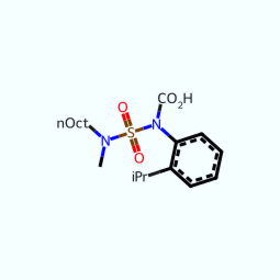 CCCCCCCCN(C)S(=O)(=O)N(C(=O)O)c1ccccc1C(C)C